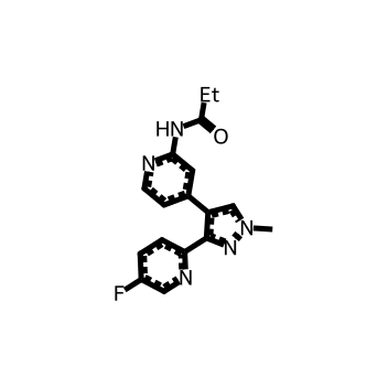 CCC(=O)Nc1cc(-c2cn(C)nc2-c2ccc(F)cn2)ccn1